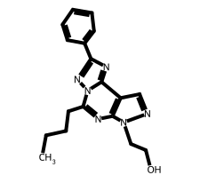 CCCCc1nc2c(cnn2CCO)c2nc(-c3ccccc3)nn12